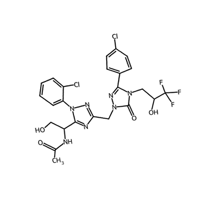 CC(=O)NC(CO)c1nc(Cn2nc(-c3ccc(Cl)cc3)n(CC(O)C(F)(F)F)c2=O)nn1-c1ccccc1Cl